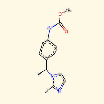 Cc1nccn1[C@@H](C)c1ccc(NC(=O)OC(C)(C)C)cc1